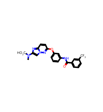 CN(C(=O)O)c1cn2nc(Oc3cccc(NC(=O)c4cccc(C(F)(F)F)c4)c3)ccc2n1